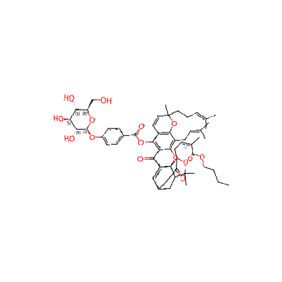 CCCCOC(=O)/C(C)=C\CC12OC(C)(C)C3CC(C=C4C(=O)c5c(OC(=O)c6ccc(O[C@@H]7O[C@H](CO)[C@@H](O)[C@H](O)[C@H]7O)cc6)c6c(c(CC=C(C)C)c5OC431)OC(C)(CCC=C(C)C)C=C6)C2=O